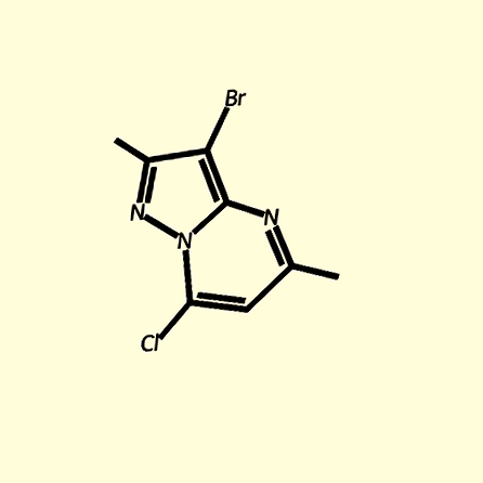 Cc1cc(Cl)n2nc(C)c(Br)c2n1